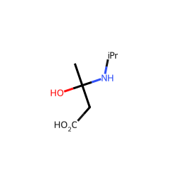 CC(C)NC(C)(O)CC(=O)O